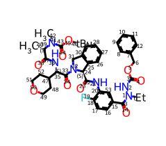 CCN(NC(=O)OCc1ccccc1)C(=O)c1ccc(F)c(NC(=O)[C@@H]2c3ccccc3CN2C(=O)[C@@H](NC(=O)[C@H](C)N(C)C(=O)OC(C)(C)C)C2CCOCC2)c1